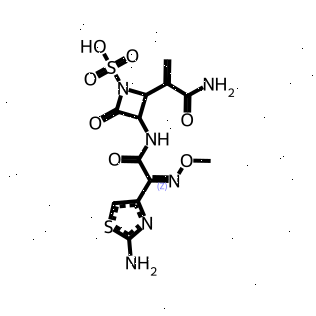 C=C(C(N)=O)C1C(NC(=O)/C(=N\OC)c2csc(N)n2)C(=O)N1S(=O)(=O)O